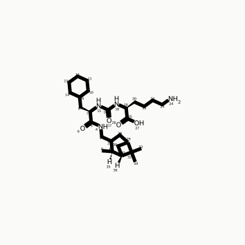 C[C@H]1C(CNC(=O)[C@@H](CC2CCCCC2)NC(=O)N[C@@H](CCCCN)C(=O)O)CC2C[C@@H]1C2(C)C